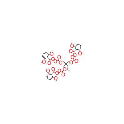 CCCC(COC(=O)OOC(=O)c1c(OC)cccc1OC)(COC(=O)OOC(=O)c1c(OC)cccc1OC)COC(=O)OOC(=O)c1c(OC)cccc1OC